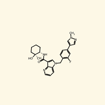 Cn1cc(-c2ccc(Cn3cc(C(=O)N[C@H]4CCCC[C@]4(C)O)c4ncccc43)c(F)c2)cn1